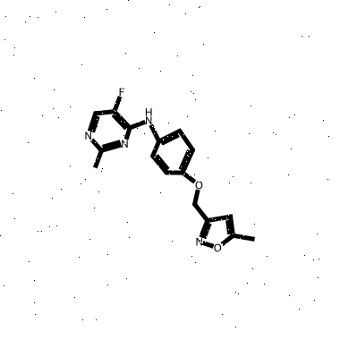 Cc1ncc(F)c(Nc2ccc(OCc3cc(C)on3)cc2)n1